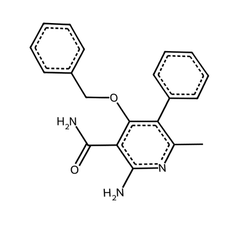 Cc1nc(N)c(C(N)=O)c(OCc2ccccc2)c1-c1ccccc1